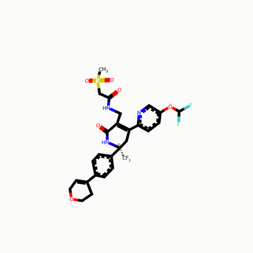 CS(=O)(=O)CC(=O)NCC1=C(c2ccc(OC(F)F)cn2)C[C@](c2ccc(C3=CCOCC3)cc2)(C(F)(F)F)NC1=O